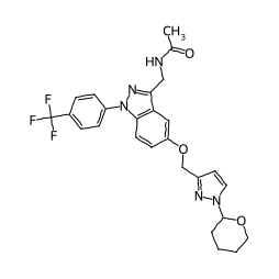 CC(=O)NCc1nn(-c2ccc(C(F)(F)F)cc2)c2ccc(OCc3ccn(C4CCCCO4)n3)cc12